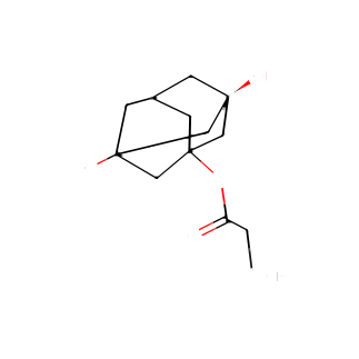 O=C(CS(=O)(=O)O)OC12CC3CC(O)(C1)C[C@](O)(C3)C2